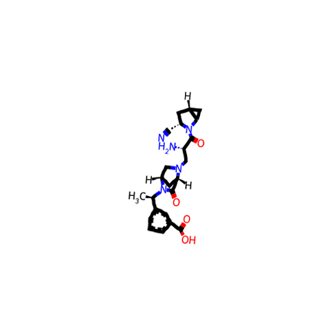 C[C@H](c1cccc(C(=O)O)c1)N1C(=O)[C@@H]2C[C@H]1CN2C[C@H](N)C(=O)N1C2C[C@H]2C[C@H]1C#N